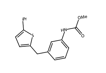 COC(=O)Nc1cccc(Cc2ccc(C(C)C)s2)c1